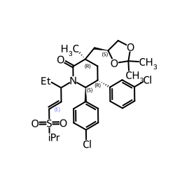 CCC(/C=C/S(=O)(=O)C(C)C)N1C(=O)[C@@](C)(C[C@H]2COC(C)(C)O2)C[C@H](c2cccc(Cl)c2)[C@H]1c1ccc(Cl)cc1